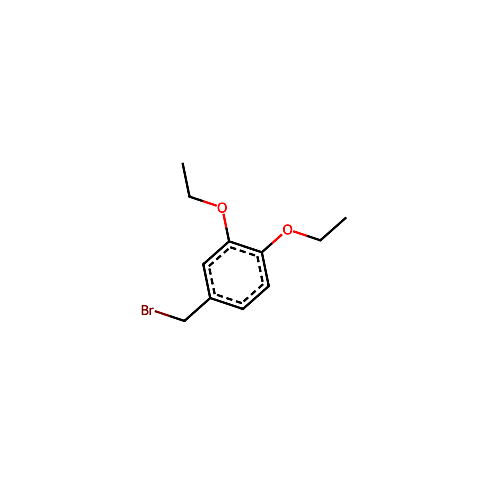 CCOc1ccc(CBr)cc1OCC